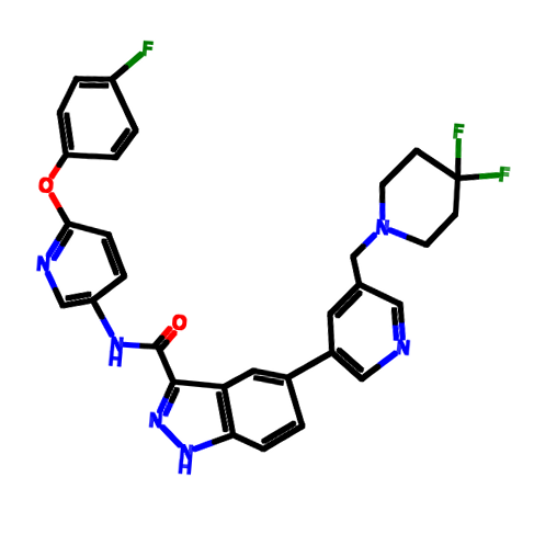 O=C(Nc1ccc(Oc2ccc(F)cc2)nc1)c1n[nH]c2ccc(-c3cncc(CN4CCC(F)(F)CC4)c3)cc12